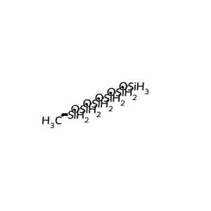 CC[SiH2]O[SiH2]O[SiH2]O[SiH2]O[SiH2]O[SiH3]